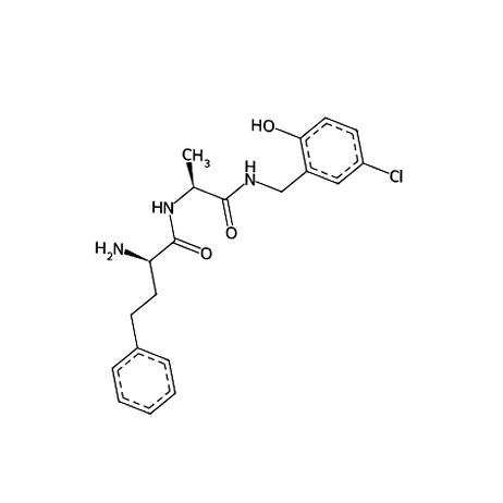 C[C@H](NC(=O)[C@H](N)CCc1ccccc1)C(=O)NCc1cc(Cl)ccc1O